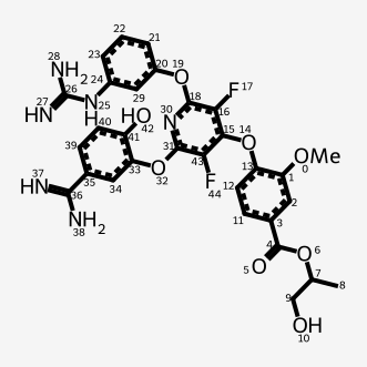 COc1cc(C(=O)OC(C)CO)ccc1Oc1c(F)c(Oc2cccc(NC(=N)N)c2)nc(Oc2cc(C(=N)N)ccc2O)c1F